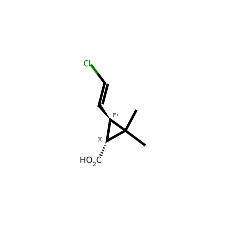 CC1(C)[C@H](C=CCl)[C@H]1C(=O)O